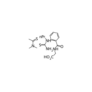 CC(=S)N(C)C.CCCNC(N)=S.O=C(O)CNC(=O)c1ccccc1